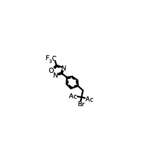 CC(=O)C(Br)(Cc1ccc(-c2noc(C(F)(F)F)n2)cc1)C(C)=O